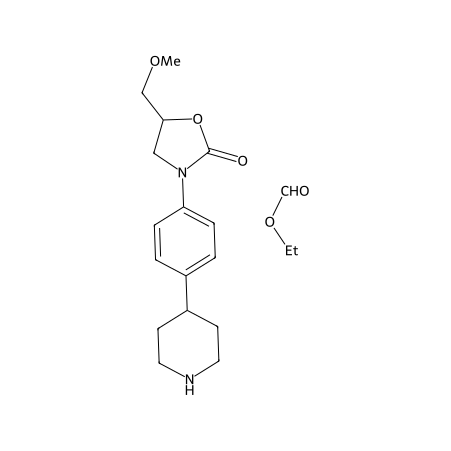 CCOC=O.COCC1CN(c2ccc(C3CCNCC3)cc2)C(=O)O1